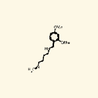 C=NCCCCNCc1ccc(OC)cc1OC